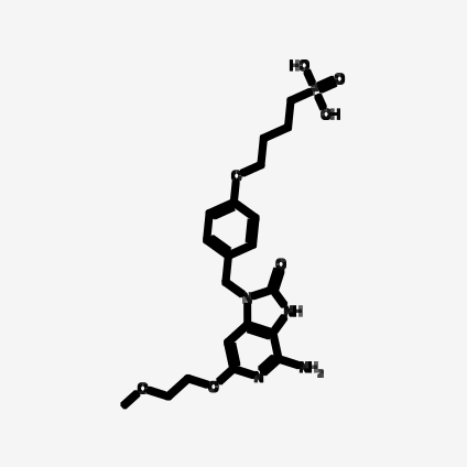 COCCOc1cc2c([nH]c(=O)n2Cc2ccc(OCCCCP(=O)(O)O)cc2)c(N)n1